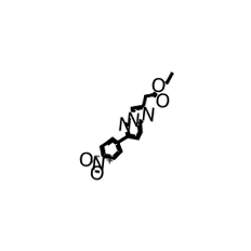 CCOC(=O)Cc1cn2nc(-c3ccc([N+](=O)[O-])cc3)ccc2n1